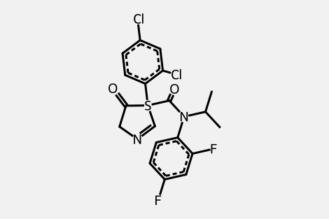 CC(C)N(C(=O)S1(c2ccc(Cl)cc2Cl)C=NCC1=O)c1ccc(F)cc1F